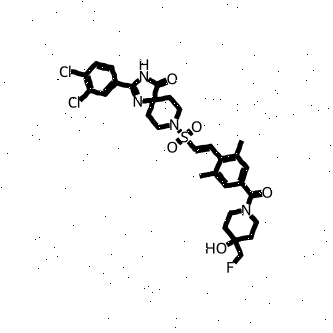 Cc1cc(C(=O)N2CCC(O)(CF)CC2)cc(C)c1C=CS(=O)(=O)N1CCC2(CC1)N=C(c1ccc(Cl)c(Cl)c1)NC2=O